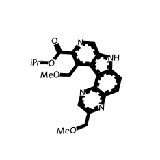 COCc1cnc2c(ccc3[nH]c4cnc(C(=O)OC(C)C)c(COC)c4c32)n1